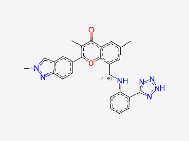 Cc1cc([C@@H](C)Nc2ccccc2-c2nn[nH]n2)c2oc(-c3ccc4nn(C)cc4c3)c(C)c(=O)c2c1